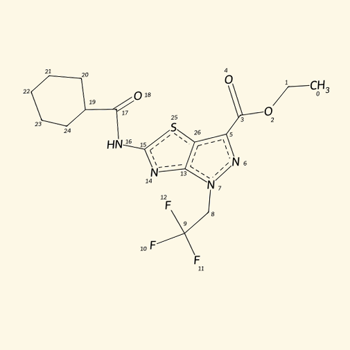 CCOC(=O)c1nn(CC(F)(F)F)c2nc(NC(=O)C3CCCCC3)sc12